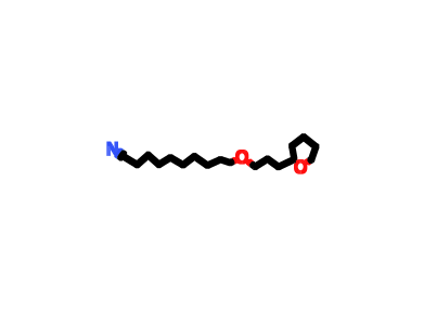 N#CCCCCCCCCCOCCCC1CCCCO1